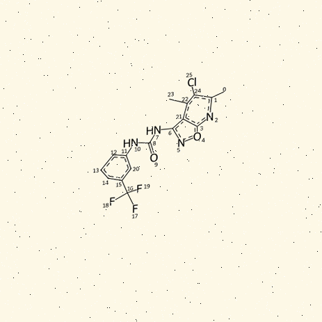 Cc1nc2onc(NC(=O)Nc3cccc(C(F)(F)F)c3)c2c(C)c1Cl